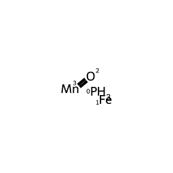 P.[Fe].[O]=[Mn]